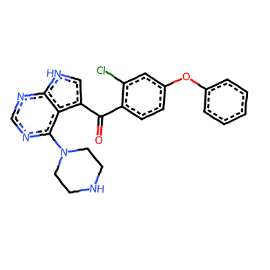 O=C(c1ccc(Oc2ccccc2)cc1Cl)c1c[nH]c2ncnc(N3CCNCC3)c12